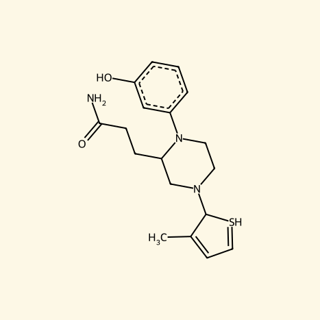 CC1=CC=[SH]C1N1CCN(c2cccc(O)c2)C(CCC(N)=O)C1